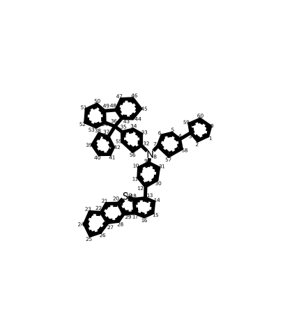 c1ccc(-c2ccc(N(c3ccc(-c4cccc5c4sc4cc6ccccc6cc45)cc3)c3ccc(C4(c5ccccc5)c5ccccc5-c5ccccc54)cc3)cc2)cc1